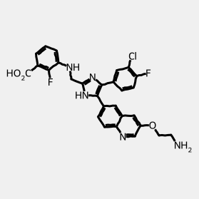 NCCOc1cnc2ccc(-c3[nH]c(CNc4cccc(C(=O)O)c4F)nc3-c3ccc(F)c(Cl)c3)cc2c1